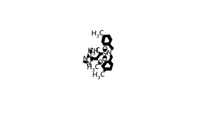 CO[C@H](c1ncnn1C)[C@H](C)S(=O)(=O)N(Cc1ccc(C)cc1)Cc1ccc(C)cc1